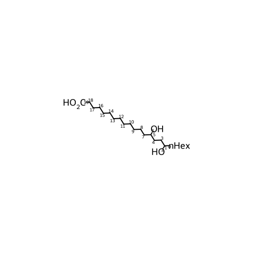 CCCCCCC(O)CCC(O)CCCCCCCCCCCCC(=O)O